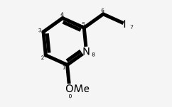 COc1cccc(CI)n1